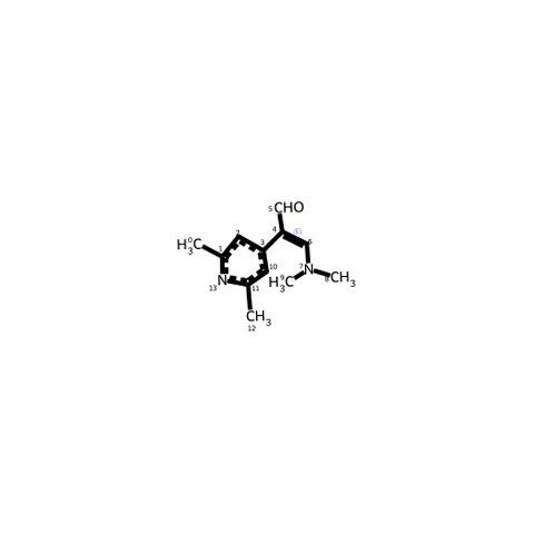 Cc1cc(/C(C=O)=C\N(C)C)cc(C)n1